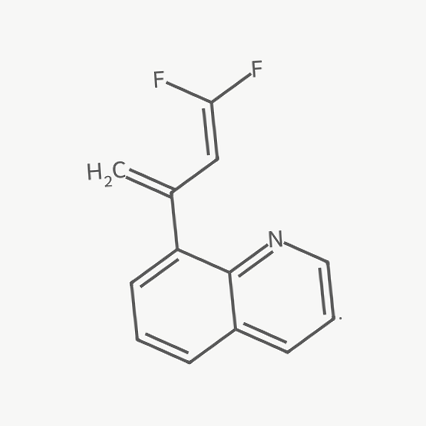 C=C(C=C(F)F)c1cccc2c[c]cnc12